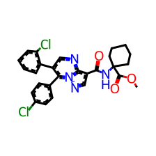 COC(=O)C1(NC(=O)c2cnn3c(-c4ccc(Cl)cc4)c(-c4ccccc4Cl)cnc23)CCCCC1